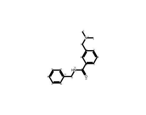 CN(C)Cc1cccc(C(=O)NCc2ccccc2)c1